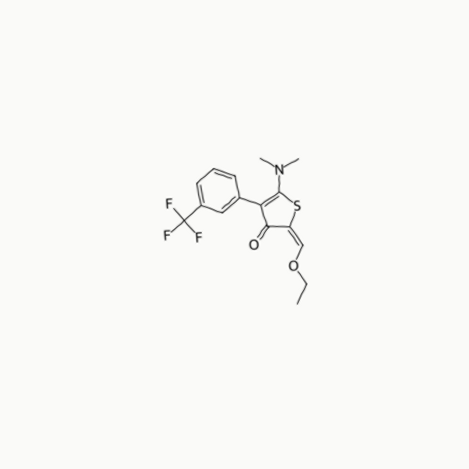 CCOC=C1SC(N(C)C)=C(c2cccc(C(F)(F)F)c2)C1=O